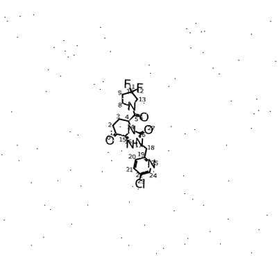 O=C1CC[C@@H](C(=O)N2CCC(F)(F)C2)n2c1nn(Cc1ccc(Cl)cn1)c2=O